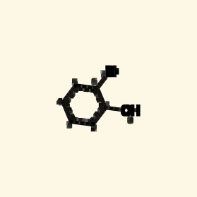 Oc1cccc[c]1[Bi]